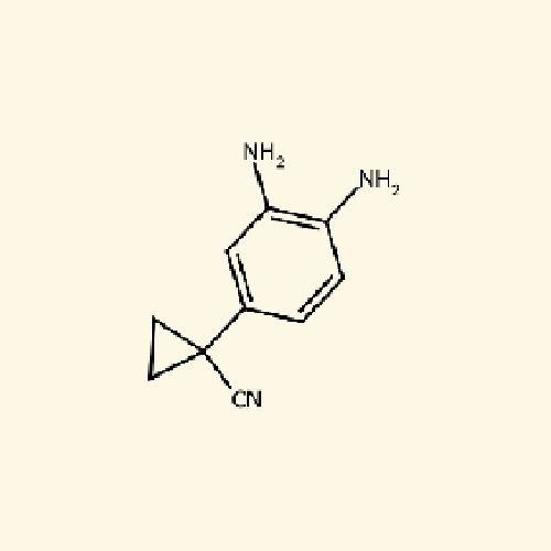 N#CC1(c2ccc(N)c(N)c2)CC1